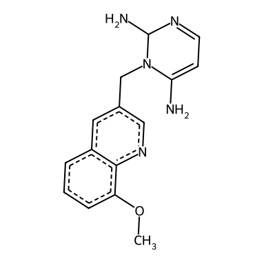 COc1cccc2cc(CN3C(N)=CC=NC3N)cnc12